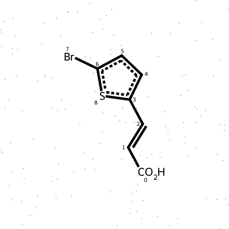 O=C(O)/C=C/c1ccc(Br)s1